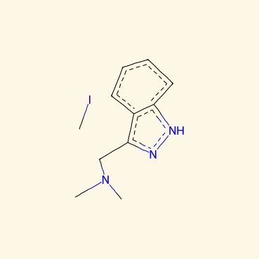 CI.CN(C)Cc1n[nH]c2ccccc12